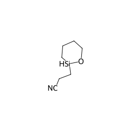 N#CCC[SiH]1CCCCO1